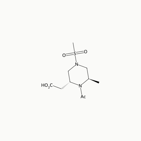 CC(=O)N1[C@H](CC(=O)O)CN(S(C)(=O)=O)C[C@H]1C